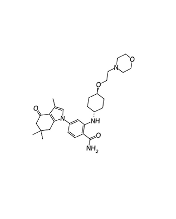 Cc1cn(-c2ccc(C(N)=O)c(N[C@H]3CC[C@H](OCCN4CCOCC4)CC3)c2)c2c1C(=O)CC(C)(C)C2